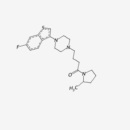 CC1CCCN1C(=O)CCCN1CCN(c2csc3cc(F)ccc23)CC1